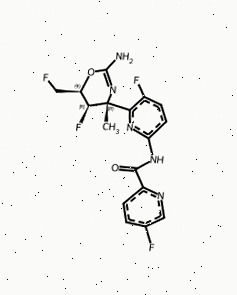 C[C@]1(c2nc(NC(=O)c3ccc(F)cn3)ccc2F)N=C(N)O[C@H](CF)[C@@H]1F